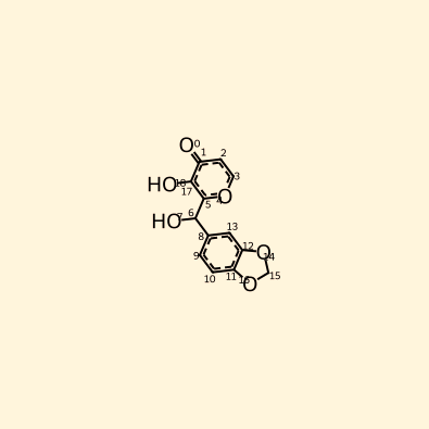 O=c1ccoc(C(O)c2ccc3c(c2)OCO3)c1O